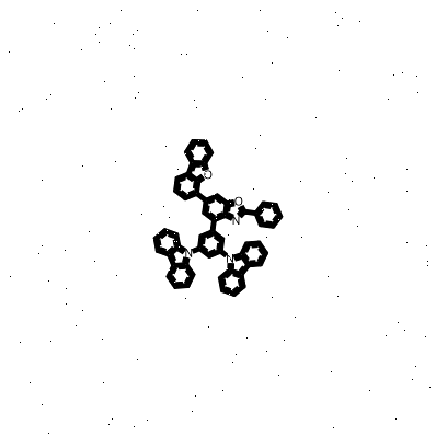 c1ccc(-c2nc3c(-c4cc(-n5c6ccccc6c6ccccc65)cc(-n5c6ccccc6c6ccccc65)c4)cc(-c4cccc5c4oc4ccccc45)cc3o2)cc1